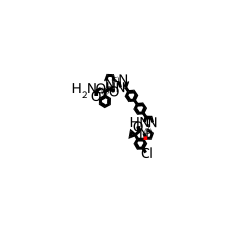 NC(=O)O[C@@H](C(=O)N1CCC[C@H]1c1ncc(-c2ccc(-c3ccc(-c4cnc([C@@H]5CCCN5C(=O)C5(c6ccc(Cl)cc6)CC5)[nH]4)cc3)cc2)[nH]1)c1ccccc1